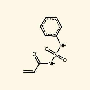 C=CC(=O)NS(=O)(=O)Nc1ccccc1